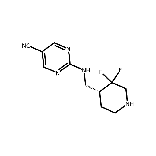 N#Cc1cnc(NC[C@H]2CCNCC2(F)F)nc1